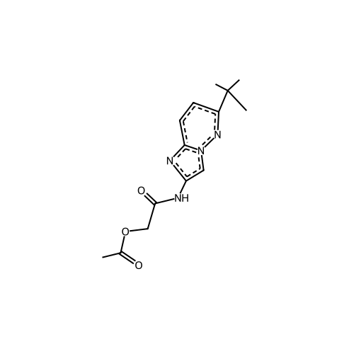 CC(=O)OCC(=O)Nc1cn2nc(C(C)(C)C)ccc2n1